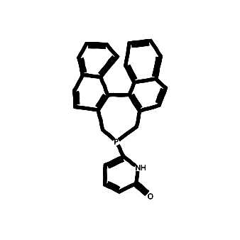 O=c1cccc(P2Cc3ccc4ccccc4c3-c3c(ccc4ccccc34)C2)[nH]1